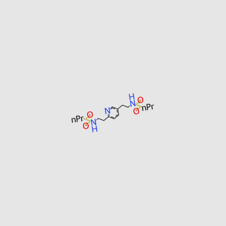 CCCS(=O)(=O)NCCc1ccc(CCNS(=O)(=O)CCC)nc1